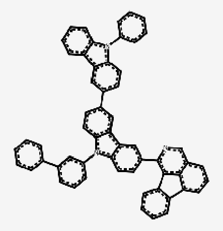 c1ccc(-c2cccc(-n3c4ccc(-c5ccc6c(c5)c5ccccc5n6-c5ccccc5)cc4c4cc(-c5ncc6cccc7c6c5-c5ccccc5-7)ccc43)c2)cc1